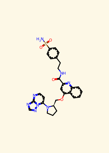 NS(=O)(=O)c1ccc(CCNC(=O)c2cc(OC[C@H]3CCCN3c3ccnc4ncnn34)c3ccccc3n2)cc1